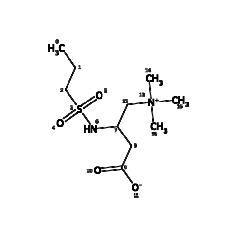 CCCS(=O)(=O)NC(CC(=O)[O-])C[N+](C)(C)C